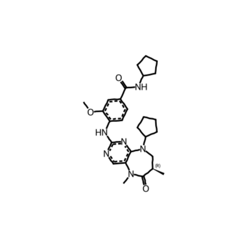 COc1cc(C(=O)NC2CCCC2)ccc1Nc1ncc2c(n1)N(C1CCCC1)C[C@@H](C)C(=O)N2C